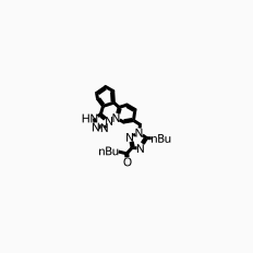 CCCCC(=O)c1nc(CCCC)n(Cc2ccc(-c3ccccc3-c3nnn[nH]3)nc2)n1